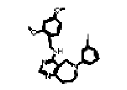 COc1ccc(CNc2ncnc3c2CN(c2cccc(I)c2)CCC3)c(OC)c1